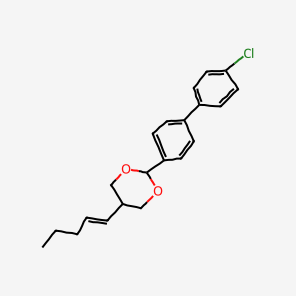 CCCC=CC1COC(c2ccc(-c3ccc(Cl)cc3)cc2)OC1